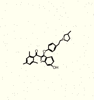 Cc1cc(C)c(C(=O)c2sc3cc(O)ccc3c2Oc2ccc(CCN3CCC(C)C3)cc2)c(C)c1